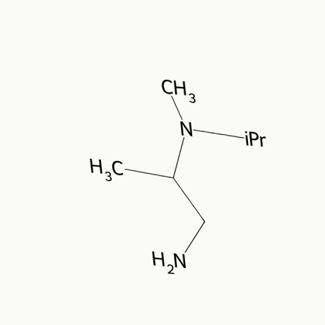 CC(C)N(C)C(C)CN